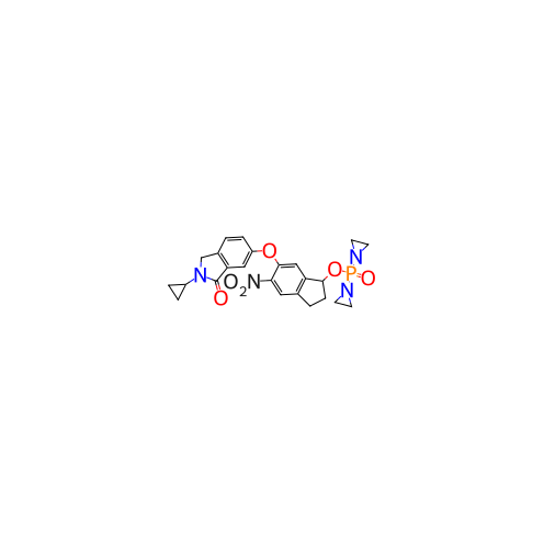 O=C1c2cc(Oc3cc4c(cc3[N+](=O)[O-])CCC4OP(=O)(N3CC3)N3CC3)ccc2CN1C1CC1